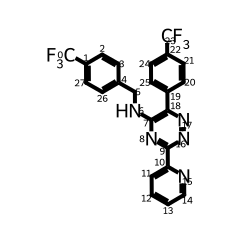 FC(F)(F)c1ccc(CNc2nc(-c3ccccn3)nnc2-c2ccc(C(F)(F)F)cc2)cc1